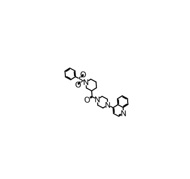 O=C(C1CCCN(S(=O)(=O)c2ccccc2)C1)N1CCN(c2ccnc3ccccc23)CC1